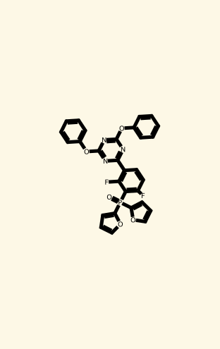 O=P(c1ccco1)(c1ccco1)c1c(F)ccc(-c2nc(Oc3ccccc3)nc(Oc3ccccc3)n2)c1F